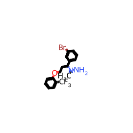 CN(N)C(CCOc1ccccc1C(F)(F)F)c1cccc(Br)c1